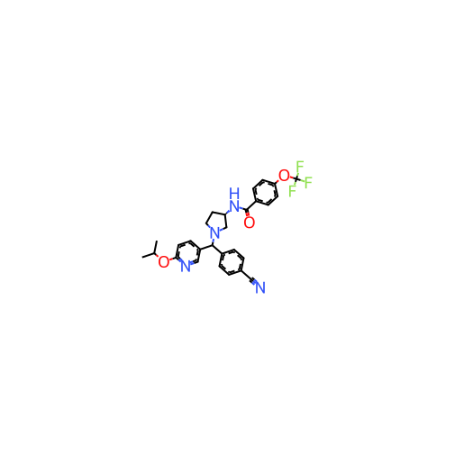 CC(C)Oc1ccc(C(c2ccc(C#N)cc2)N2CC[C@@H](NC(=O)c3ccc(OC(F)(F)F)cc3)C2)cn1